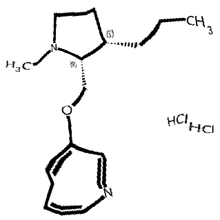 CCC[C@H]1CCN(C)[C@H]1COc1cccnc1.Cl.Cl